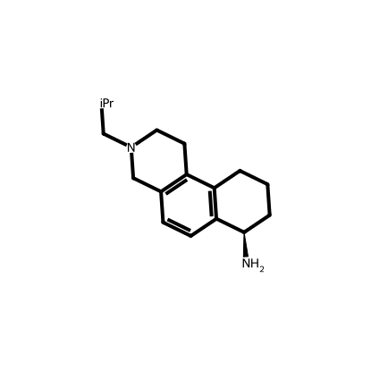 CC(C)CN1CCc2c(ccc3c2CCC[C@H]3N)C1